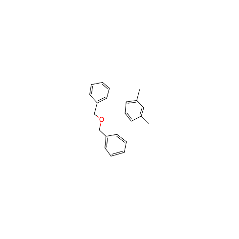 Cc1cccc(C)c1.c1ccc(COCc2ccccc2)cc1